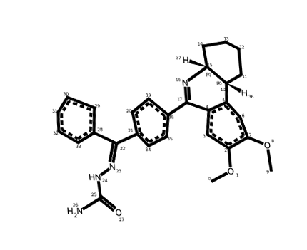 COc1cc2c(cc1OC)[C@H]1CCCC[C@H]1N=C2c1ccc(C(=NNC(N)=O)c2ccccc2)cc1